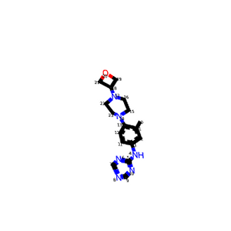 Cc1cc(Nc2ncncn2)ccc1N1CCN(C2COC2)CC1